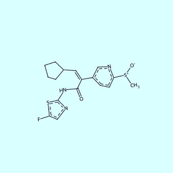 C[S+]([O-])c1ccc(C(=CC2CCCC2)C(=O)Nc2ncc(F)s2)cn1